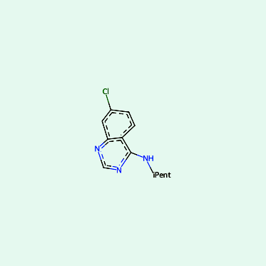 C[CH]CC(C)Nc1ncnc2cc(Cl)ccc12